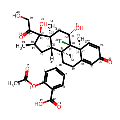 CC(=O)Oc1ccccc1C(=O)O.C[C@@H]1C[C@H]2[C@@H]3CCC4=CC(=O)C=C[C@]4(C)[C@@]3(F)[C@@H](O)C[C@]2(C)[C@@]1(O)C(=O)CO